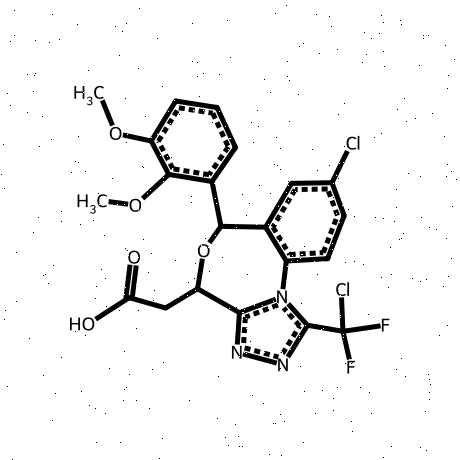 COc1cccc(C2OC(CC(=O)O)c3nnc(C(F)(F)Cl)n3-c3ccc(Cl)cc32)c1OC